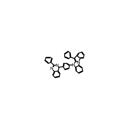 c1ccc(-c2nc(-c3ccc(-n4c5ccccc5n5c6ccccc6c(-c6ccccc6)c45)cc3)c3ccccc3n2)cc1